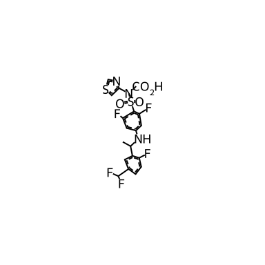 CC(Nc1cc(F)c(S(=O)(=O)N(C(=O)O)c2cscn2)c(F)c1)c1cc(C(F)F)ccc1F